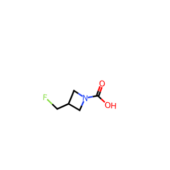 O=C(O)N1CC(CF)C1